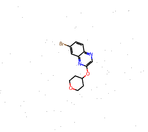 Brc1ccc2ncc(OC3CCOCC3)nc2c1